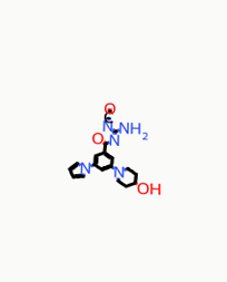 NC(N=C=O)=NC(=O)c1cc(N2CCC(O)CC2)cc(-n2cccc2)c1